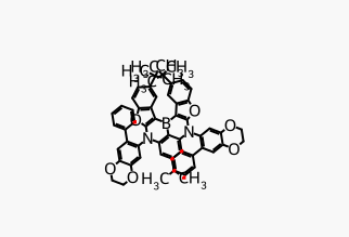 CC(C)c1cc2c3c(c1)N(c1cc4c(cc1-c1ccccc1)OCCO4)c1oc4ccc(C(C)(C)C)cc4c1B3c1c(oc3ccc(C(C)(C)C)cc13)N2c1cc2c(cc1-c1ccccc1)OCCO2